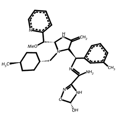 C=C1N[C@@H](C(OC)c2ccccn2)N(C[C@H]2CC[C@H](C)CC2)C1[C@H](/N=C(\N)C1=NO[C@@H](O)N1)c1cccc(C)c1